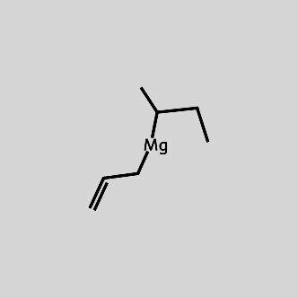 C=C[CH2][Mg][CH](C)CC